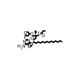 C#C[C@](CC[C@@H](CCCCCCCCCCCCC)n1cnc2c(N)nc(F)nc21)(COC(=O)CC)C(=O)OC1CCOC1